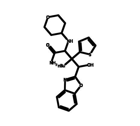 CCCCC(c1cccs1)(C(NC1CCOCC1)C(N)=O)C(O)c1nc2ccccc2o1